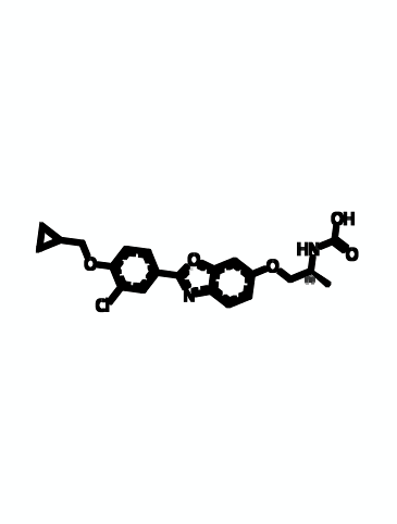 C[C@@H](COc1ccc2nc(-c3ccc(OCC4CC4)c(Cl)c3)oc2c1)NC(=O)O